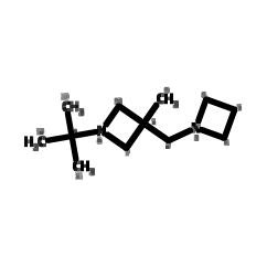 CC1(CN2CCC2)CN(C(C)(C)C)C1